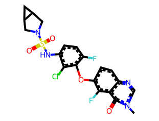 Cn1cnc2ccc(Oc3c(F)ccc(NS(=O)(=O)N4CC5CC5C4)c3Cl)c(F)c2c1=O